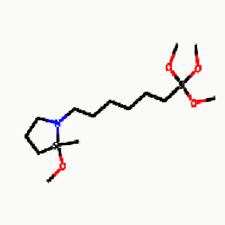 CO[Si](CCCCCCN1CCC[Si]1(C)OC)(OC)OC